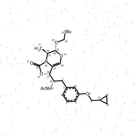 CC(=O)N[C@@H](Cc1cccc(OCC2CC2)c1)[C@@H]1OC(=O)N2C1=CO[C@@H](OCC(C)(C)C)[C@@H]2C